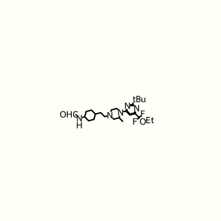 CCOC(F)(F)c1cc(N2CCN(CCC3CCC(NC=O)CC3)CC2C)nc(C(C)(C)C)n1